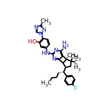 CCCC[C@@H](c1ccc(F)cc1)C1CC(C)(C)[C@]2(C)c3c(N)nc(Nc4ccc(-n5cnc(C)n5)c(O)c4)nc3C12